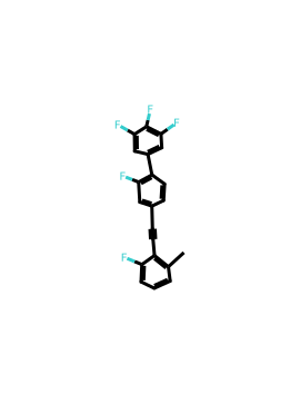 Cc1cccc(F)c1C#Cc1ccc(-c2cc(F)c(F)c(F)c2)c(F)c1